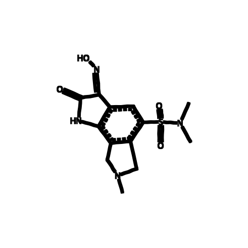 CN1Cc2c(S(=O)(=O)N(C)C)cc3c(c2C1)NC(=O)C3=NO